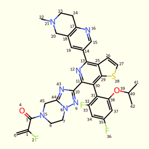 C=C(F)C(=O)N1CCn2nc(-c3nc(-c4cnc5c(c4)CN(C)CC5)c4ccsc4c3-c3c(F)cc(F)cc3OC(C)C)nc2C1